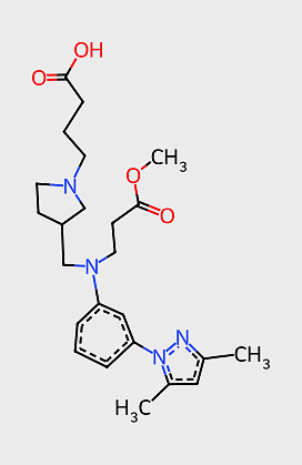 COC(=O)CCN(CC1CCN(CCCC(=O)O)C1)c1cccc(-n2nc(C)cc2C)c1